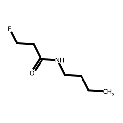 CCCCNC(=O)CCF